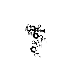 Nc1ncnn2cc(C(=O)NC3CC3)c(-c3ccc(NC(=O)Nc4cccc(C(F)(F)F)n4)c(OC(F)(F)F)c3)c12